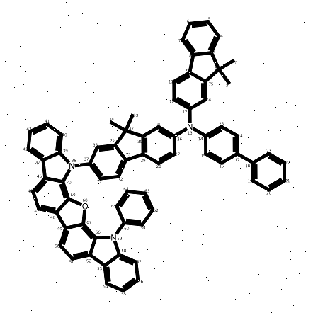 CC1(C)c2ccccc2-c2ccc(N(c3ccc(-c4ccccc4)cc3)c3ccc4c(c3)C(C)(C)c3cc(-n5c6ccccc6c6ccc7c8ccc9c%10ccccc%10n(-c%10ccccc%10)c9c8oc7c65)ccc3-4)cc21